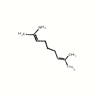 CC(C)=CCCCC=C(C)N